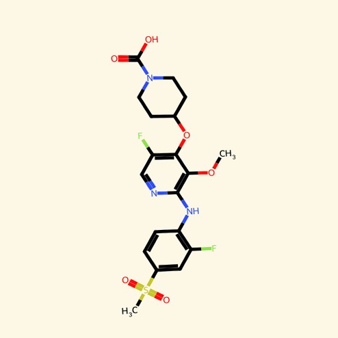 COc1c(Nc2ccc(S(C)(=O)=O)cc2F)ncc(F)c1OC1CCN(C(=O)O)CC1